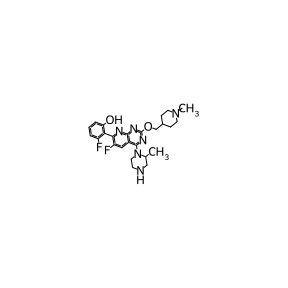 CC1CNCCN1c1nc(OCC2CCN(C)CC2)nc2nc(-c3c(O)cccc3F)c(F)cc12